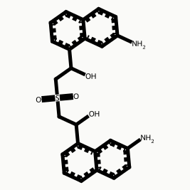 Nc1ccc2cccc(C(O)CS(=O)(=O)CC(O)c3cccc4ccc(N)cc34)c2c1